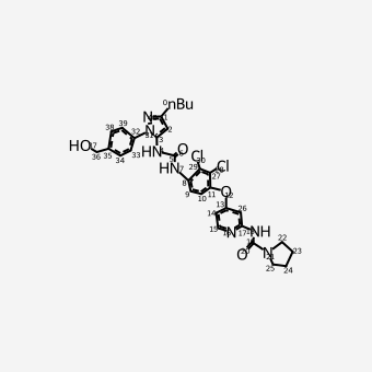 CCCCc1cc(NC(=O)Nc2ccc(Oc3ccnc(NC(=O)N4CCCC4)c3)c(Cl)c2Cl)n(-c2ccc(CO)cc2)n1